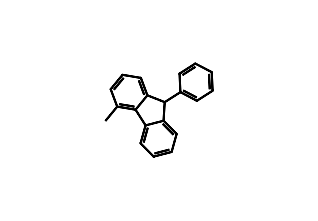 Cc1cccc2c1-c1ccccc1C2c1ccccc1